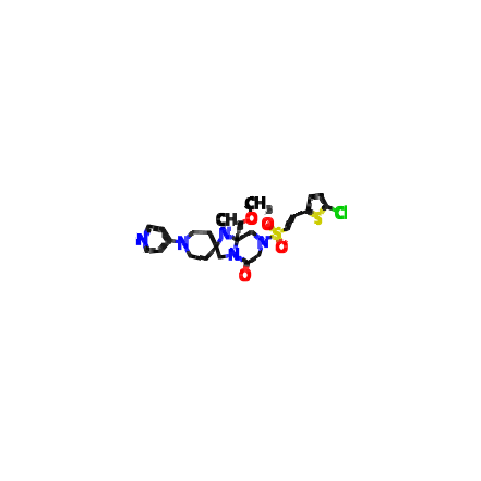 COCC12CN(S(=O)(=O)C=Cc3ccc(Cl)s3)CC(=O)N1CC1(CCN(c3ccncc3)CC1)N2C